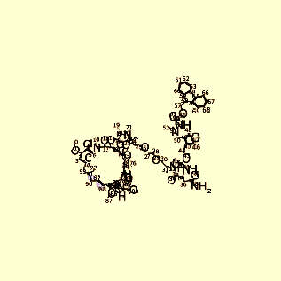 COc1cc2cc(c1Cl)N(C)C(=O)C[C@H](OC(=O)[C@H](C)N(C)C(=O)CCOCCOCCNC(=O)[C@H](CC(N)=O)NC(=O)OCc1cocc1CN(C)NC(=O)OCC1c3ccccc3-c3ccccc31)[C@]1(C)OC1[C@H](C)[C@@H]1C[C@@](O)(NC(=O)O1)[C@H](OC)/C=C/C=C(\C)C2